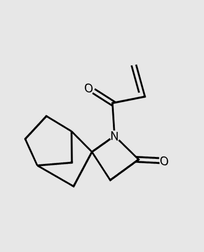 C=CC(=O)N1C(=O)CC12CC1CCC2C1